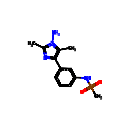 Cc1nc(-c2cccc(NS(C)(=O)=O)c2)c(C)n1N